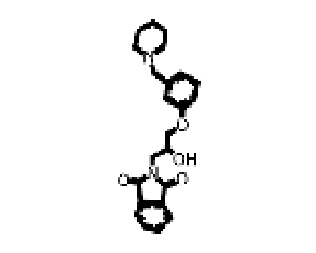 O=C1c2ccccc2C(=O)N1CC(O)COc1cccc(CN2CCCCC2)c1